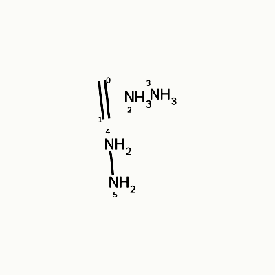 C=C.N.N.NN